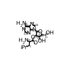 CC(C)CC(N)C(=O)O[C@@H]1[C@@H](O)[C@H](CO)O[C@@H]1n1cnc2c(N)ncnc21